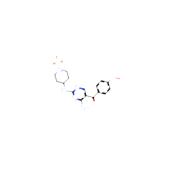 COc1ccc(C(=O)c2cnc(NC3CCN(S(C)(=O)=O)CC3)nc2N)cc1